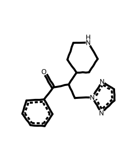 O=C(c1ccccc1)C(Cn1nccn1)C1CCNCC1